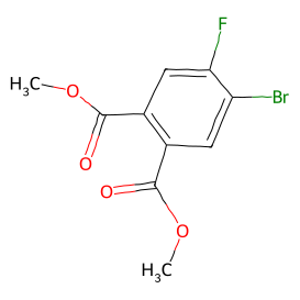 COC(=O)c1cc(F)c(Br)cc1C(=O)OC